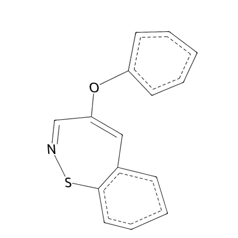 C1=NSc2ccccc2C=C1Oc1ccccc1